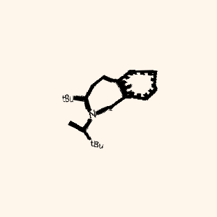 C=C(N1Cc2ccccc2CC1C(C)(C)C)C(C)(C)C